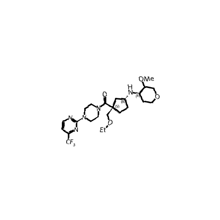 CCOC[C@]1(C(=O)N2CCN(c3nccc(C(F)(F)F)n3)CC2)CC[C@@H](N[C@@H]2CCOCC2OC)C1